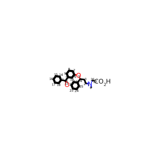 CN(CCC(Oc1cccc(C(=O)c2ccccc2)c1)c1ccccc1)CC(=O)O